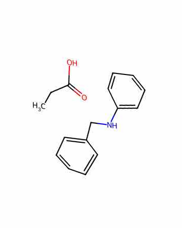 CCC(=O)O.c1ccc(CNc2ccccc2)cc1